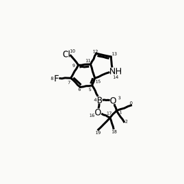 CC1(C)OB(c2cc(F)c(Cl)c3cc[nH]c23)OC1(C)C